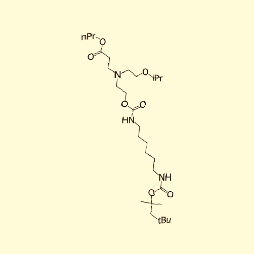 CCCOC(=O)CCN(CCOC(=O)NCCCCCCNC(=O)OC(C)(C)CC(C)(C)C)CCOC(C)C